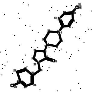 O=C1[C@H](N2CCN(c3ccc(O)cn3)CC2)CCN1Cc1ccc(Cl)cc1